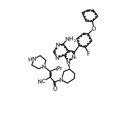 CC(C)C(=C(C#N)C(=O)N1CCC[C@H](n2nc(-c3ccc(Oc4ccccc4)cc3F)c3c(N)ncnc32)C1)N1CCNCC1